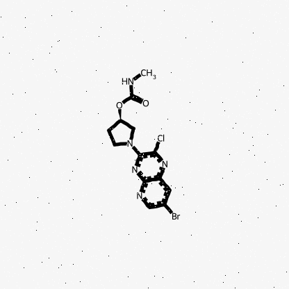 CNC(=O)O[C@@H]1CCN(c2nc3ncc(Br)cc3nc2Cl)C1